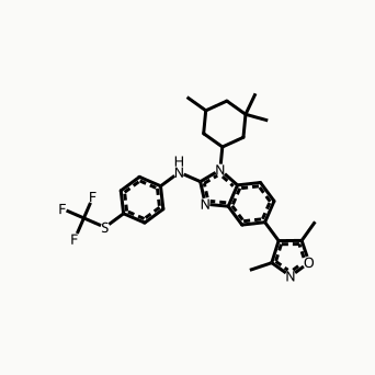 Cc1noc(C)c1-c1ccc2c(c1)nc(Nc1ccc(SC(F)(F)F)cc1)n2C1CC(C)CC(C)(C)C1